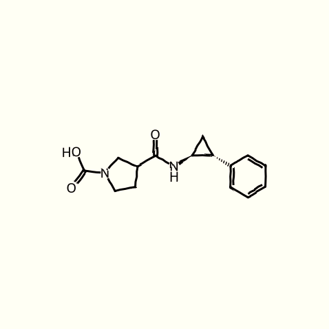 O=C(N[C@H]1C[C@@H]1c1ccccc1)C1CCN(C(=O)O)C1